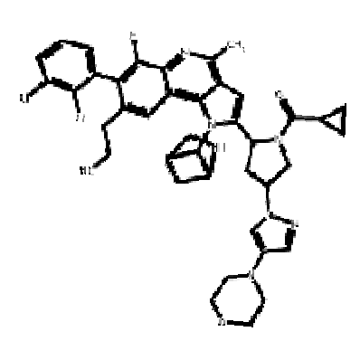 Cc1nc2c(F)c(-c3cccc(Cl)c3Cl)c(CCC#N)cc2c2c1cc(C1CC(n3cc(N4CCOCC4)cn3)CN1C(=O)C1CC1)n2C1C2CNC1C2